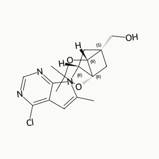 Cc1cc2c(Cl)ncnc2n1[C@@H]1C[C@@]2(CO)C[C@@]13OC(C)(C)O[C@H]23